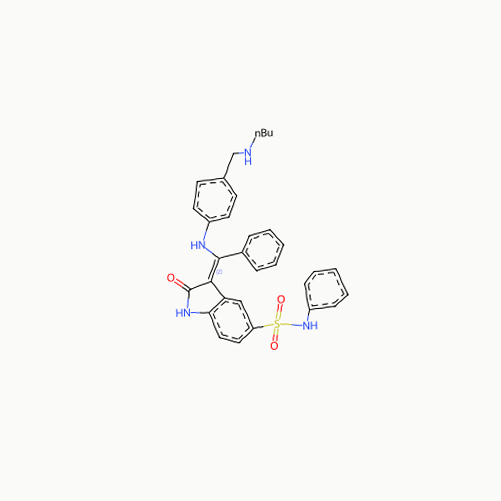 CCCCNCc1ccc(N/C(=C2\C(=O)Nc3ccc(S(=O)(=O)Nc4ccccc4)cc32)c2ccccc2)cc1